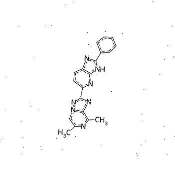 Cc1cn2nc(-c3ccc4nc(-c5ccccc5)[nH]c4n3)nc2c(C)n1